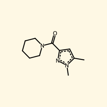 Cc1cc(C(=O)N2CCCCC2)nn1C